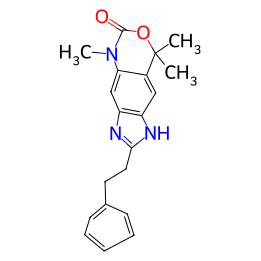 CN1C(=O)OC(C)(C)c2cc3[nH]c(CCc4ccccc4)nc3cc21